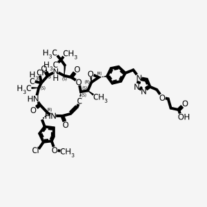 COc1ccc(C[C@H]2NC(=O)C=CC[C@@H]([C@H](C)[C@H]3O[C@@H]3c3ccc(Cn4cc(COCCC(=O)O)nn4)cc3)OC(=O)[C@H](CC(C)(C)C)NC(=O)C(C)(C)[C@H](C)NC2=O)cc1Cl